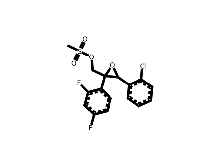 CS(=O)(=O)OCC1(c2ccc(F)cc2F)OC1c1ccccc1Cl